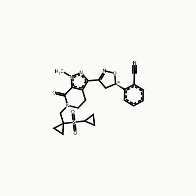 Cn1nc(C2=NO[C@@H](c3ccccc3C#N)C2)c2c1C(=O)N(CC1(S(=O)(=O)C3CC3)CC1)CC2